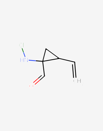 C=CC1CC1(C=O)NCl